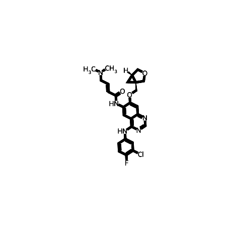 CN(C)C/C=C/C(=O)Nc1cc2c(Nc3ccc(F)c(Cl)c3)ncnc2cc1OC[C@]12COC[C@H]1C2